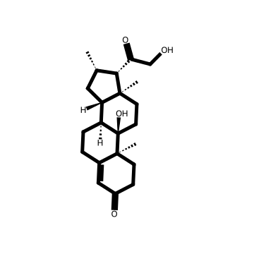 C[C@H]1C[C@H]2[C@@H]3CCC4=CC(=O)CC[C@]4(C)[C@@]3(O)CC[C@]2(C)[C@H]1C(=O)CO